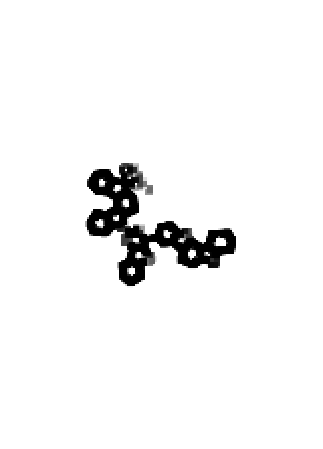 CC1(C)c2ccccc2-c2c1ccc1c2c2ccccc2n1-c1nc(-c2ccc3oc4c(ccc5oc6ccccc6c54)c3c2)c2oc3ccccc3c2n1